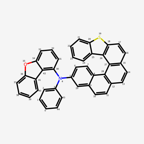 c1ccc(N(c2ccc3c(ccc4ccc5ccc6sc7ccccc7c6c5c43)c2)c2cccc3oc4ccccc4c23)cc1